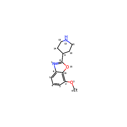 CCOc1cccc2nc(C3CCNCC3)oc12